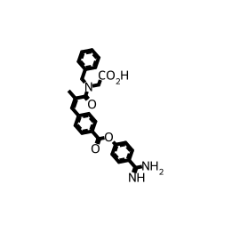 CC(=Cc1ccc(C(=O)Oc2ccc(C(=N)N)cc2)cc1)C(=O)N(CC(=O)O)Cc1ccccc1